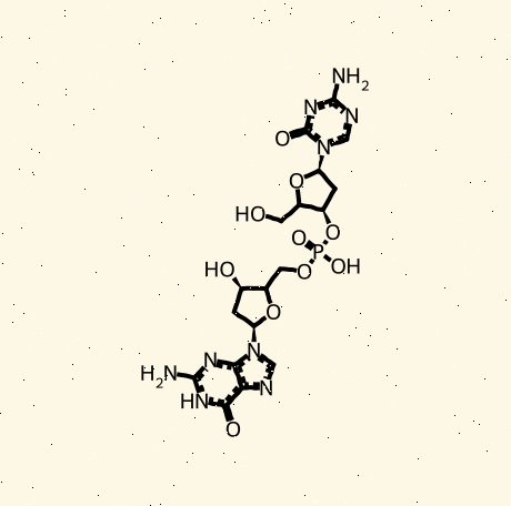 Nc1ncn([C@H]2C[C@@H](OP(=O)(O)OCC3O[C@@H](n4cnc5c(=O)[nH]c(N)nc54)C[C@H]3O)C(CO)O2)c(=O)n1